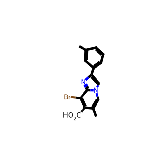 Cc1cccc(-c2cn3cc(C)c(C(=O)O)c(Br)c3n2)c1